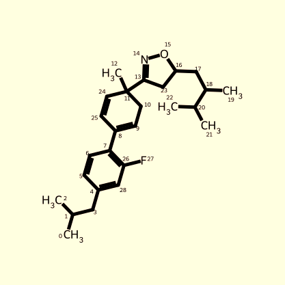 CC(C)Cc1ccc(C2=CCC(C)(C3=NOC(CC(C)C(C)C)C3)C=C2)c(F)c1